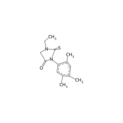 CCN1CC(=O)N(c2cc(C)c(C)cc2C)C1=S